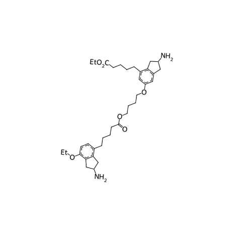 CCOC(=O)CCCCc1cc(OCCCCOC(=O)CCCCc2ccc(OCC)c3c2CC(N)C3)cc2c1CC(N)C2